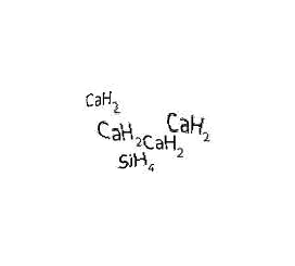 [CaH2].[CaH2].[CaH2].[CaH2].[SiH4]